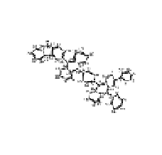 c1ccc(-c2ccc3c(-c4ccc(-c5c6ccccc6c(-c6ccc7sc8ccccc8c7c6)c6ccccc56)cc4)c4ccccc4c(-c4ccccc4)c3c2)cc1